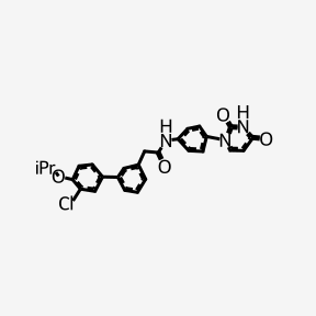 CC(C)Oc1ccc(-c2cccc(CC(=O)Nc3ccc(-n4ccc(=O)[nH]c4=O)cc3)c2)cc1Cl